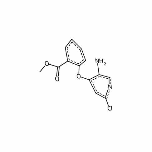 COC(=O)c1ccccc1Oc1cc(Cl)ncc1N